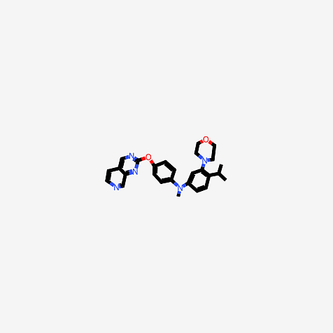 CC(C)c1ccc(N(C)c2ccc(Oc3ncc4ccncc4n3)cc2)cc1N1CCOCC1